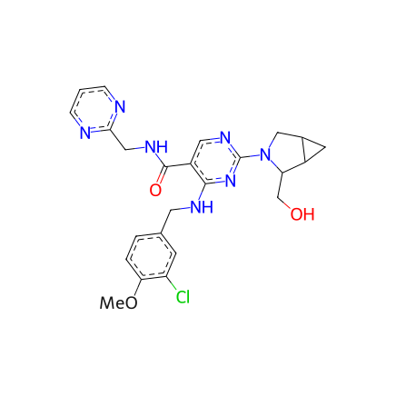 COc1ccc(CNc2nc(N3CC4CC4C3CO)ncc2C(=O)NCc2ncccn2)cc1Cl